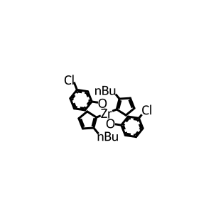 CCCCC1=[C]([Zr]([O]c2cccc(Cl)c2)([O]c2cccc(Cl)c2)[C]2=C(CCCC)C=CC2)CC=C1